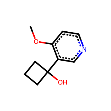 COc1ccncc1C1(O)CCC1